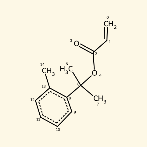 C=CC(=O)OC(C)(C)c1ccccc1C